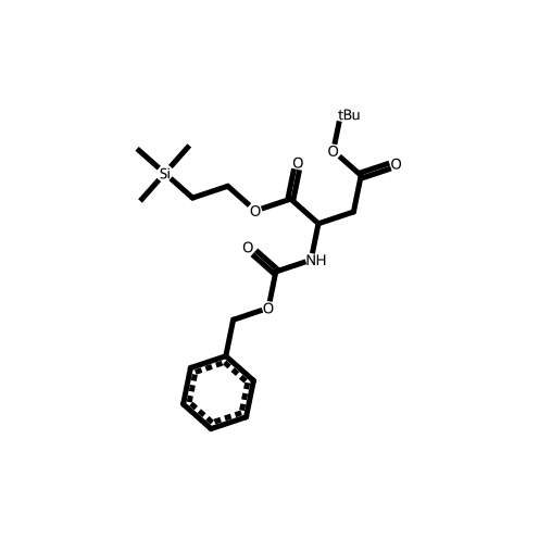 CC(C)(C)OC(=O)CC(NC(=O)OCc1ccccc1)C(=O)OCC[Si](C)(C)C